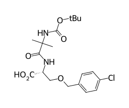 CC(C)(C)OC(=O)NC(C)(C)C(=O)N[C@H](COCc1ccc(Cl)cc1)C(=O)O